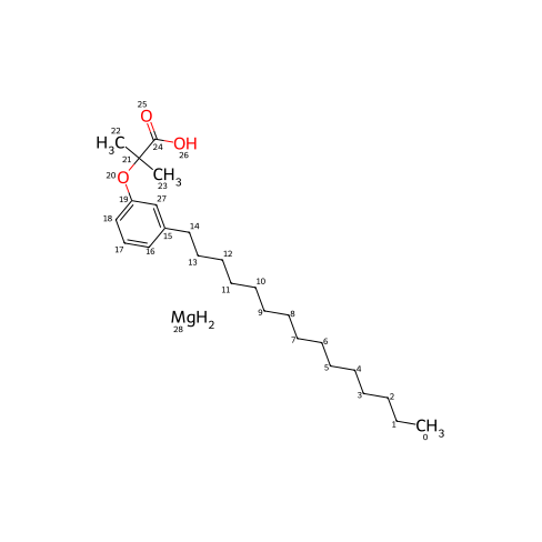 CCCCCCCCCCCCCCCc1cccc(OC(C)(C)C(=O)O)c1.[MgH2]